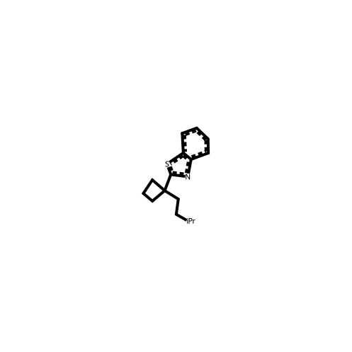 CC(C)CCC1(c2nc3ccccc3s2)CCC1